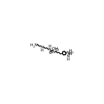 N=C(N)Nc1ccc(CCCC(=O)NC(O)C(=O)NCCCCNCCCN)cc1